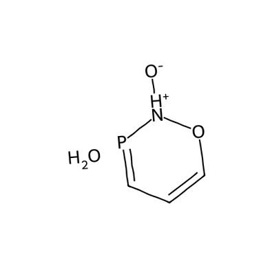 O.[O-][NH+]1OC=CC=P1